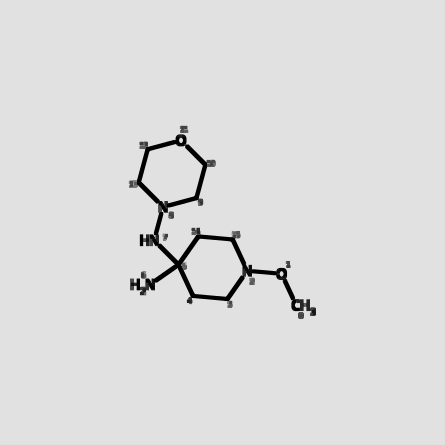 CON1CCC(N)(NN2CCOCC2)CC1